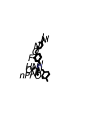 CCCn1c(=O)[nH]/c(=N\c2ccc(Oc3ccc(N(I)I)cn3)c(F)c2)n(CC2C=CC(C)=CC2)c1=O